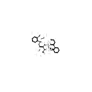 CCC[C@]1(c2ccccc2CC)CC(O)=C(C(NS(=O)(=O)c2ncccc2-c2ccccc2)C(C)(C)C)C(=O)O1